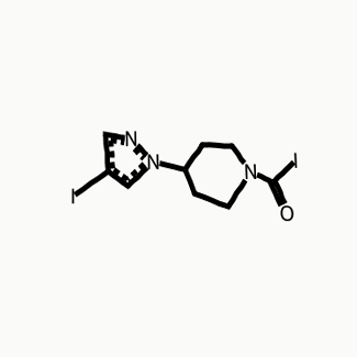 O=C(I)N1CCC(n2cc(I)cn2)CC1